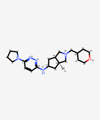 c1cc(N2CCCC2)nnc1NC1CC2CN(CC3CCOCC3)C[C@H]2C1